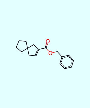 O=C(OCc1ccccc1)C1=CCC2(CCCC2)C1